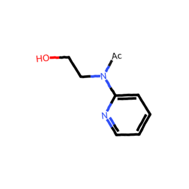 CC(=O)N(CCO)c1ccccn1